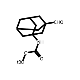 CC(C)(C)OC(=O)NC12CC3CC(CC(C=O)(C3)C1)C2